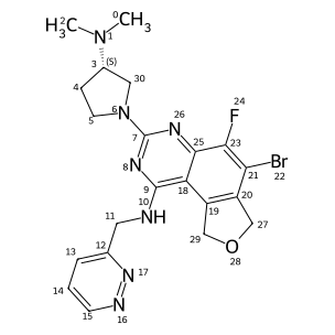 CN(C)[C@H]1CCN(c2nc(NCc3cccnn3)c3c4c(c(Br)c(F)c3n2)COC4)C1